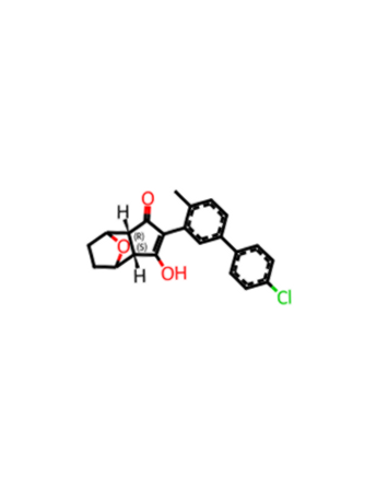 Cc1ccc(-c2ccc(Cl)cc2)cc1C1=C(O)[C@@H]2C3CCC(O3)[C@@H]2C1=O